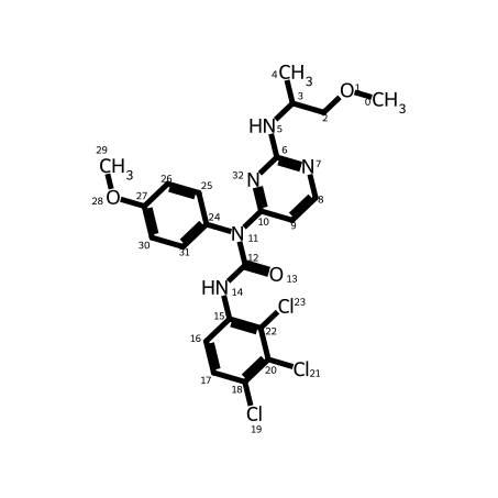 COCC(C)Nc1nccc(N(C(=O)Nc2ccc(Cl)c(Cl)c2Cl)c2ccc(OC)cc2)n1